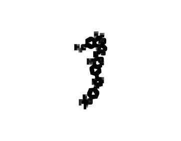 Cc1ccc(C(F)(F)F)c(N2C(=O)CSC2=NC(=O)Nc2ccc(-c3ncn(-c4ccc(OC(F)(F)F)cc4)n3)cc2F)c1